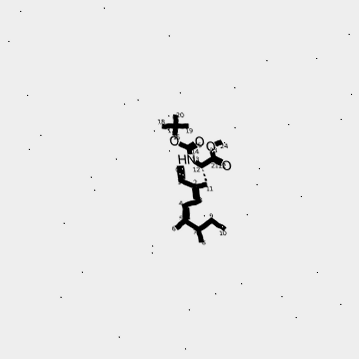 C=C/C(=C\C=C(\C)C(C)CC)C[C@H](NC(=O)OC(C)(C)C)C(=O)OC